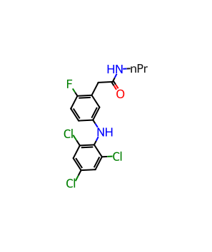 CCCNC(=O)Cc1cc(Nc2c(Cl)cc(Cl)cc2Cl)ccc1F